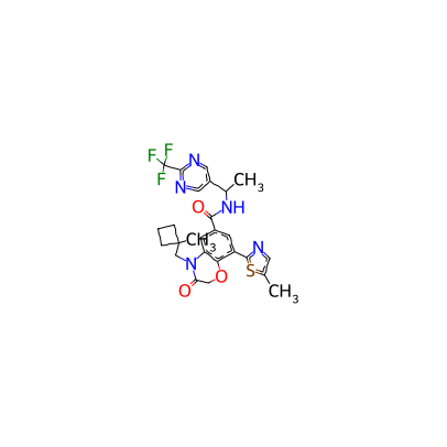 Cc1cnc(-c2cc(C(=O)NC(C)c3cnc(C(F)(F)F)nc3)cc3c2OCC(=O)N3CC2(C)CCC2)s1